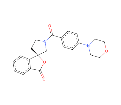 O=C1O[C@]2(CCN(C(=O)c3ccc(N4CCOCC4)cc3)C2)c2ccccc21